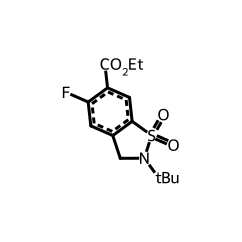 CCOC(=O)c1cc2c(cc1F)CN(C(C)(C)C)S2(=O)=O